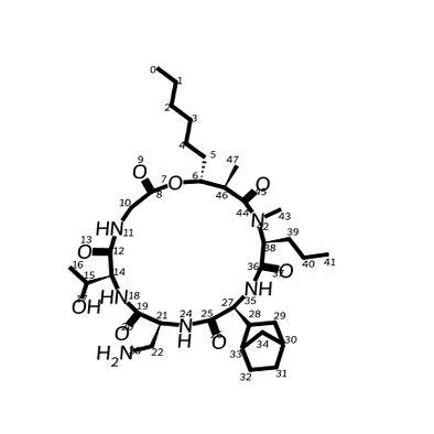 CCCCCC[C@H]1OC(=O)CNC(=O)[C@H](C(C)O)NC(=O)[C@H](CN)NC(=O)[C@H](C2CC3CCC2C3)NC(=O)[C@H](CCC)N(C)C(=O)[C@@H]1C